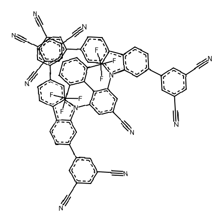 N#Cc1cc(C#N)cc(-c2ccc3c4ccc(-c5cc(C#N)cc(C#N)c5)cc4n(-c4cc(C#N)cc(-n5c6cc(-c7cc(C#N)cc(C#N)c7)ccc6c6ccc(-c7cc(C#N)cc(C#N)c7)cc65)c4-c4c(C(F)(F)F)cccc4C(F)(F)F)c3c2)c1